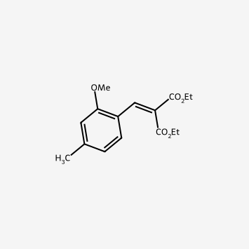 CCOC(=O)C(=Cc1ccc(C)cc1OC)C(=O)OCC